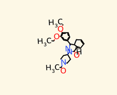 CCOc1ccc(C2=NN(C3CCN(C(C)=O)CC3)C(=O)[C@@H]3CC=CCC23)cc1OCC